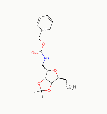 CC1(C)OC2C(O1)[C@@H](CNC(=O)OCc1ccccc1)O[C@H]2CC(=O)O